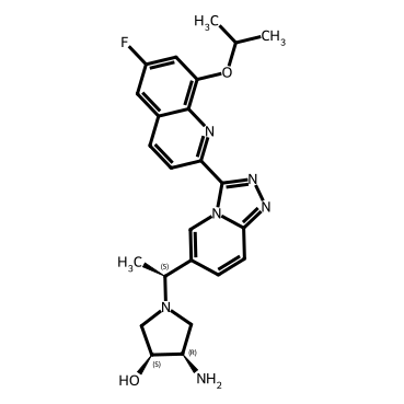 CC(C)Oc1cc(F)cc2ccc(-c3nnc4ccc([C@H](C)N5C[C@@H](N)[C@@H](O)C5)cn34)nc12